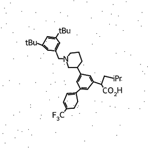 CC(C)CC(C(=O)O)c1cc(C2=CC=C(C(F)(F)F)CC2)cc(C2CCCN(Cc3cc(C(C)(C)C)cc(C(C)(C)C)c3)C2)c1